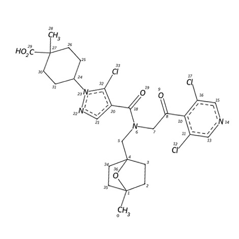 CC12CCC(CN(CC(=O)c3c(Cl)cncc3Cl)C(=O)c3cnn(C4CCC(C)(C(=O)O)CC4)c3Cl)(CC1)O2